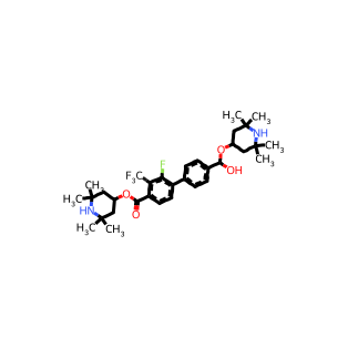 CC1(C)CC(OC(=O)c2ccc(-c3ccc(C(O)OC4CC(C)(C)NC(C)(C)C4)cc3)c(F)c2C(F)(F)F)CC(C)(C)N1